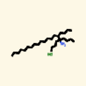 CCCCCCCCCCCCCCC(CCCC)C(N)(CCCC)CCCC.Cl